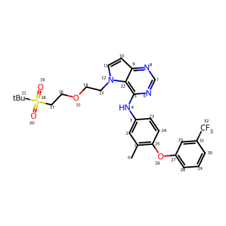 Cc1cc(Nc2ncnc3ccn(CCOCCS(=O)(=O)C(C)(C)C)c23)ccc1Oc1cccc(C(F)(F)F)c1